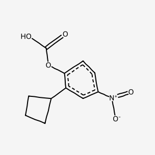 O=C(O)Oc1ccc([N+](=O)[O-])cc1C1CCC1